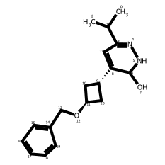 CC(C)C1=NNC(O)C([C@H]2C[C@H](OCc3ccccc3)C2)=C1